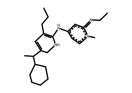 CCCC1=C(Nc2ccn(C)/c(=N\CC)c2)NCC(C(C)C2CCCCC2)=C1